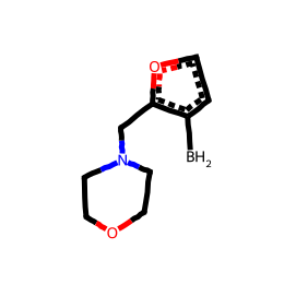 Bc1ccoc1CN1CCOCC1